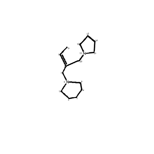 CC=C(CN1CCCCC1)CN1CCCC1